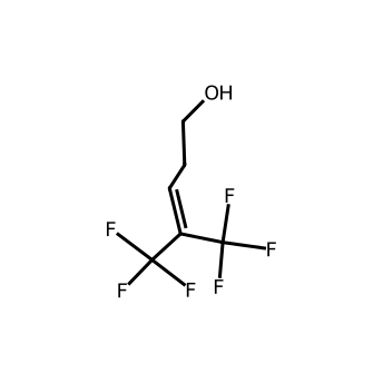 OCCC=C(C(F)(F)F)C(F)(F)F